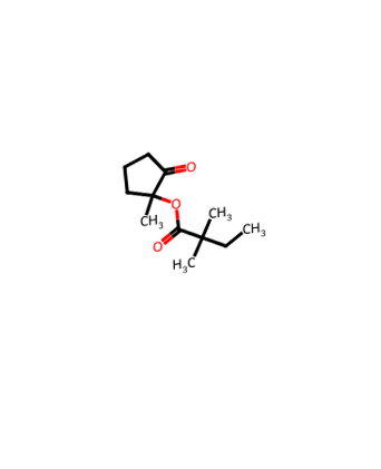 CCC(C)(C)C(=O)OC1(C)CCCC1=O